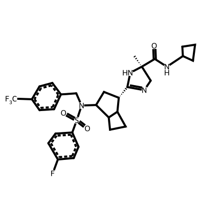 C[C@]1(C(=O)NC2CCC2)CN=C([C@H]2CC(N(Cc3ccc(C(F)(F)F)cc3)S(=O)(=O)c3ccc(F)cc3)C3CCC32)N1